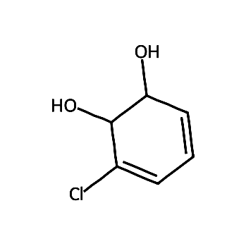 OC1C=CC=C(Cl)C1O